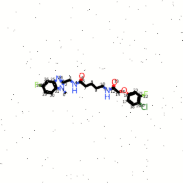 Cn1c(CNC(=O)CCCCNC(=O)COc2ccc(Cl)c(F)c2)nc2cc(F)ccc21